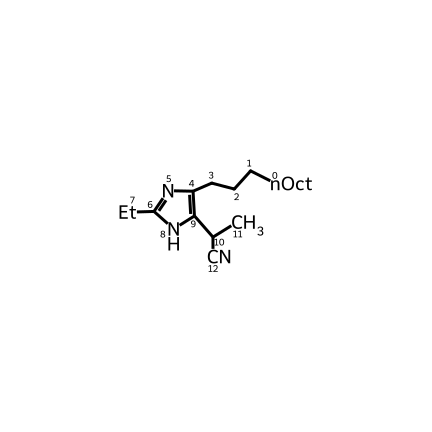 CCCCCCCCCCCc1nc(CC)[nH]c1C(C)C#N